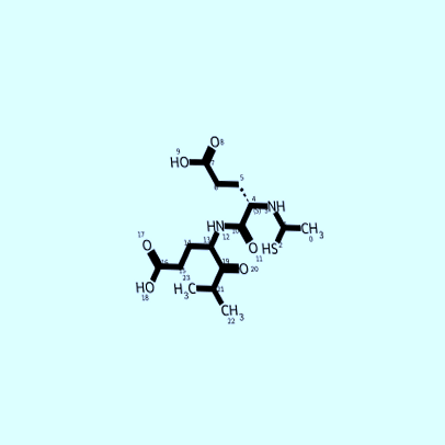 CC(S)N[C@@H](CCC(=O)O)C(=O)NC(CCC(=O)O)C(=O)C(C)C